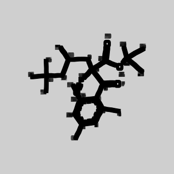 Cc1cc(C)c(C(=O)C(CC(C)CC(C)(C)C)(P=O)C(=O)OC(C)(C)C)c(C)c1